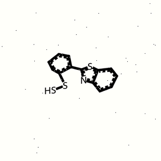 SSc1ccccc1-c1nc2ccccc2s1